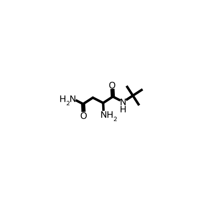 CC(C)(C)NC(=O)C(N)CC(N)=O